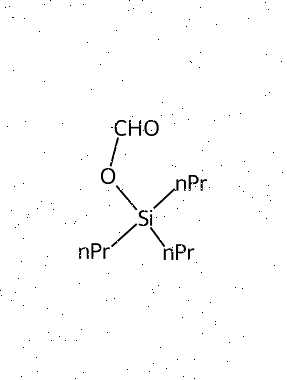 CCC[Si](CCC)(CCC)OC=O